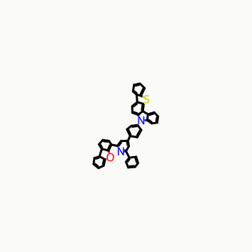 c1ccc(-c2cc(-c3ccc(-n4c5ccccc5c5c6sc7ccccc7c6ccc54)cc3)cc(-c3cccc4c3oc3ccccc34)n2)cc1